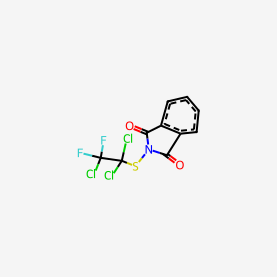 O=C1c2ccccc2C(=O)N1SC(Cl)(Cl)C(F)(F)Cl